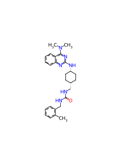 Cc1ccccc1CNC(=O)NC[C@H]1CC[C@@H](Nc2nc(N(C)C)c3ccccc3n2)CC1